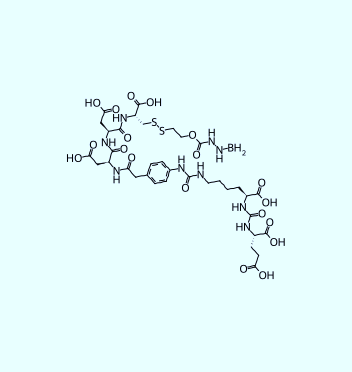 BNNC(=O)OCCSSC[C@H](NC(=O)[C@H](CC(=O)O)NC(=O)[C@H](CC(=O)O)NC(=O)Cc1ccc(NC(=O)NCCCC[C@H](NC(=O)N[C@@H](CCC(=O)O)C(=O)O)C(=O)O)cc1)C(=O)O